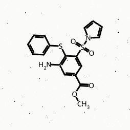 COC(=O)c1cc(N)c(Sc2ccccc2)c(S(=O)(=O)n2cccc2)c1